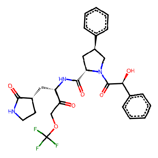 O=C1NCC[C@H]1C[C@H](NC(=O)[C@@H]1C[C@@H](c2ccccc2)CN1C(=O)[C@@H](O)c1ccccc1)C(=O)COC(F)(F)F